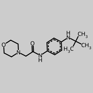 CC(C)(C)Nc1ccc(NC(=O)CN2CCOCC2)cc1